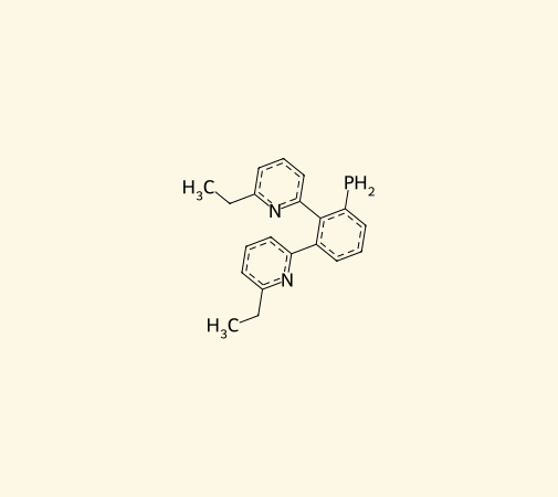 CCc1cccc(-c2cccc(P)c2-c2cccc(CC)n2)n1